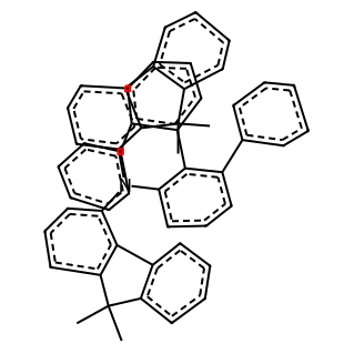 CC1(C)c2ccccc2-c2c(N(c3cccc(-c4ccccc4)c3-c3ccccc3-c3ccccc3)c3cccc4c3C(C)(C)c3ccccc3-4)cccc21